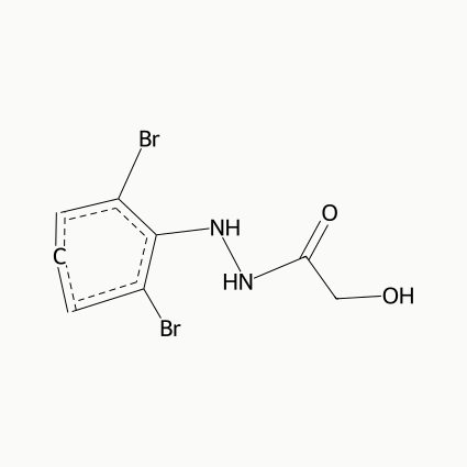 O=C(CO)NNc1c(Br)cccc1Br